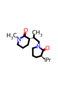 CC(CN1CCC[C@H](C(C)C)C1=O)[C@@H]1CCCN(C)C1=O